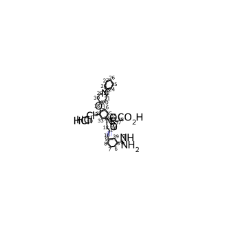 Cl.Cl.N=C(N)c1cccc(/C=C/CN(c2ccc(OC3CCN(c4ccccc4)CC3)c(Cl)c2)S(=O)(=O)CC(=O)O)c1